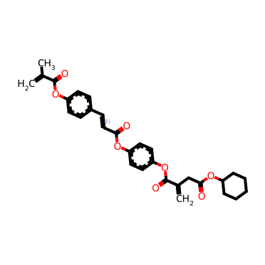 C=C(C)C(=O)Oc1ccc(/C=C/C(=O)Oc2ccc(OC(=O)C(=C)CC(=O)OC3CCCCC3)cc2)cc1